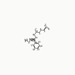 CC(C)=CCCC(C)CCN(N)c1ccccc1